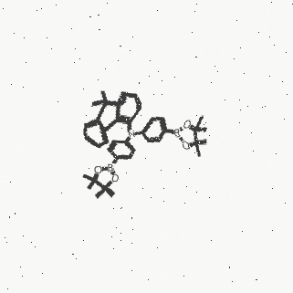 CC1(C)c2ccccc2-c2c(N(c3ccc(B4OC(C)(C)C(C)(C)O4)cc3)c3ccc(B4OC(C)(C)C(C)(C)O4)cc3)cccc21